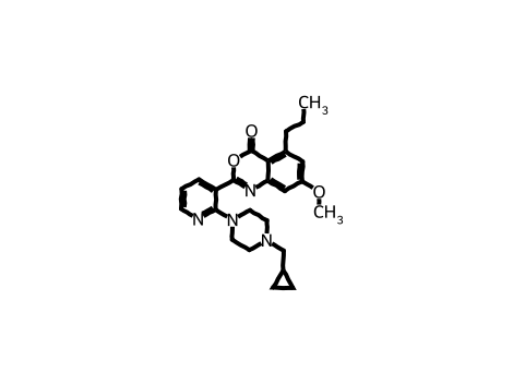 CCCc1cc(OC)cc2nc(-c3cccnc3N3CCN(CC4CC4)CC3)oc(=O)c12